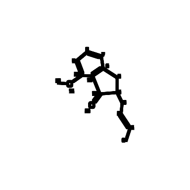 C/C=C/CC1Cc2cccc(OC)c2C1=O